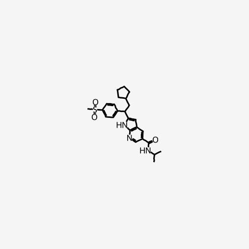 CC(C)NC(=O)c1cnc2[nH]c(C(CC3CCCC3)c3ccc(S(C)(=O)=O)cc3)cc2c1